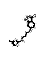 Cc1cnc(NCCCSc2ccc3c(=O)[nH][nH]c3c2)s1